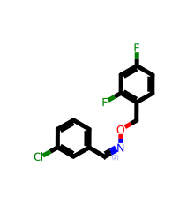 Fc1ccc(CO/N=[C]\c2cccc(Cl)c2)c(F)c1